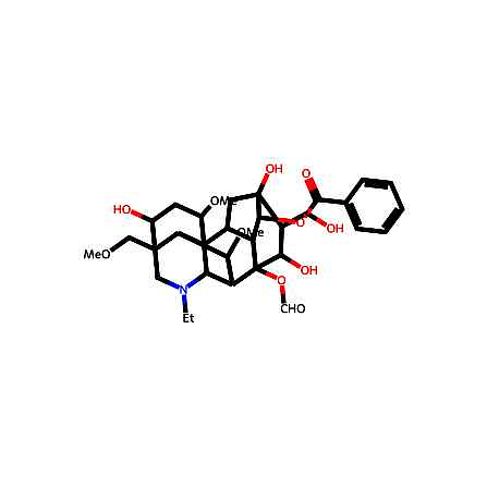 CCN1CC2(COC)C(O)CC(OC)C34C5CC6(O)C(CO)C(O)C(OC=O)(C5C6OC(=O)c5ccccc5)C(C(OC)C23)C14